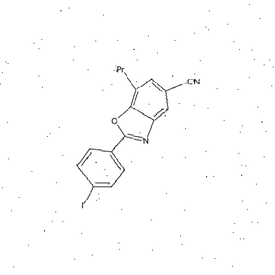 CC(C)c1cc(C#N)cc2nc(-c3ccc(I)cc3)oc12